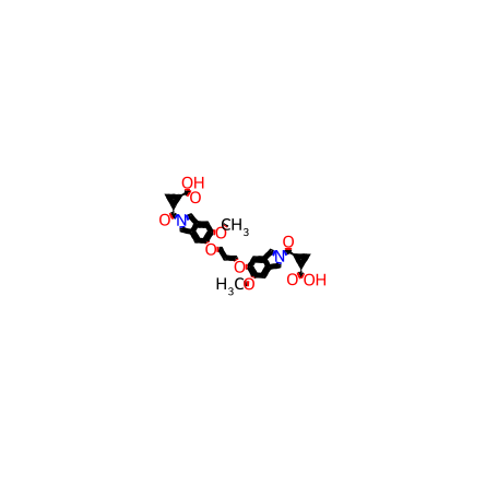 COc1cc2c(cc1OCCCOc1cc3c(cc1OC)CN(C(=O)[C@@H]1C[C@H]1C(=O)O)C3)CN(C(=O)[C@H]1C[C@@H]1C(=O)O)C2